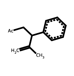 C=C(C)C(CC(C)=O)c1ccccc1